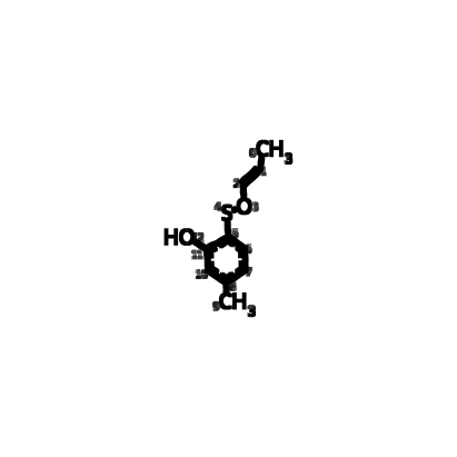 CC=COSc1ccc(C)cc1O